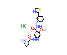 CCOc1ccc(NC(=O)C2CCCN2)cc1C(=O)NCc1cccc(-c2nccs2)c1.Cl